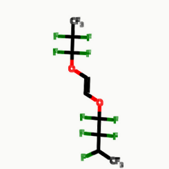 FC(C(F)(F)F)C(F)(F)C(F)(F)OC=COC(F)(F)C(F)(F)C(F)(F)F